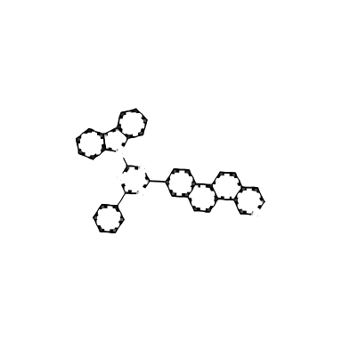 c1ccc(-c2nc(-c3ccc4c(ccc5c6cnccc6ccc45)c3)nc(-n3c4ccccc4c4ccccc43)n2)cc1